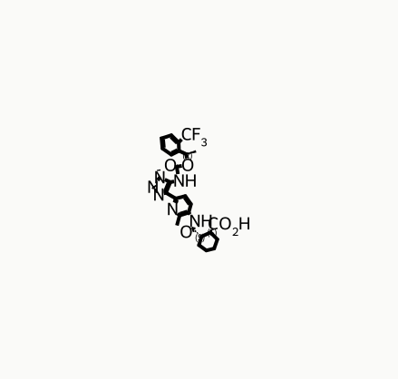 Cc1nc(-c2nnn(C)c2NC(=O)O[C@H](C)c2ccccc2C(F)(F)F)ccc1NC(=O)[C@H]1CCCC[C@@H]1C(=O)O